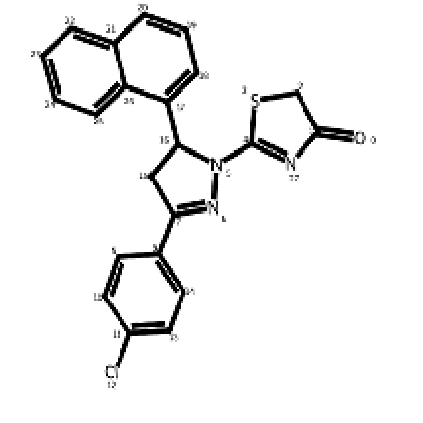 O=C1CSC(N2N=C(c3ccc(Cl)cc3)CC2c2cccc3ccccc23)=N1